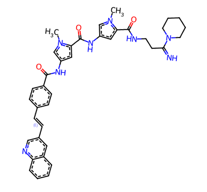 Cn1cc(NC(=O)c2cc(NC(=O)c3ccc(/C=C/c4cnc5ccccc5c4)cc3)cn2C)cc1C(=O)NCCC(=N)N1CCCCC1